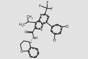 CC(C)c1c(C(=O)N[C@H]2CCOc3ccccc32)sc2c(-c3cc(Cl)cc(Cl)c3)cc(C(F)(F)F)nc12